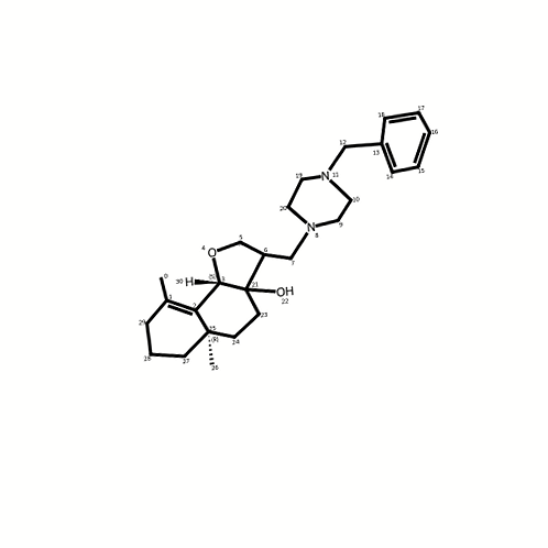 CC1=C2[C@@H]3O[C]C(CN4CCN(Cc5ccccc5)CC4)C3(O)CC[C@@]2(C)CCC1